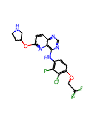 Fc1c(Nc2ncnc3ccc(O[C@H]4CCNC4)nc23)ccc(OCC(F)F)c1Cl